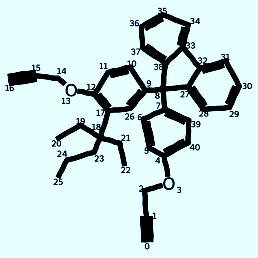 C#CCOc1ccc(C2(c3ccc(OCC#C)c(C(CC)(CC)CCC)c3)c3ccccc3-c3ccccc32)cc1